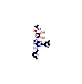 Cc1cncc(-c2nc(NCc3cccc(C)n3)c3ncn([C@@H]4O[C@H](C(=O)NC(C)C)[C@@H](O)[C@H]4O)c3n2)c1